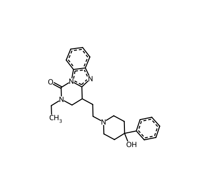 CCN1CC(CCN2CCC(O)(c3ccccc3)CC2)c2nc3ccccc3n2C1=O